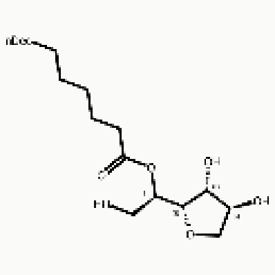 CCCCCCCCCCCCCCCC(=O)O[C@H](CO)[C@H]1OC[C@H](O)[C@H]1O